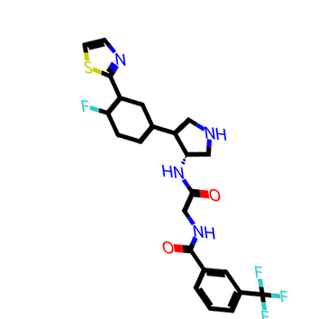 O=C(CNC(=O)c1cccc(C(F)(F)F)c1)N[C@H]1CNCC1C1CCC(F)C(c2nccs2)C1